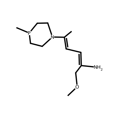 COC/C(N)=C\C=C(/C)N1CCP(C)CC1